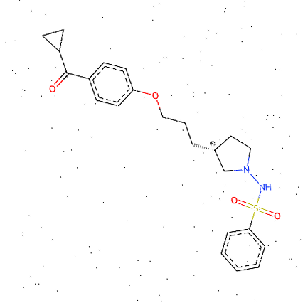 O=C(c1ccc(OCCC[C@@H]2CCN(NS(=O)(=O)c3ccccc3)C2)cc1)C1CC1